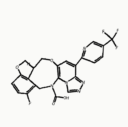 O=C(O)N1Cc2c(F)ccc3c2[C@@H](CO3)COc2cc(-c3ccc(C(F)(F)F)cn3)c3nncn3c21